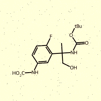 CC(C)(C)OC(=O)NC(C)(CO)c1cc(NC(=O)O)ccc1F